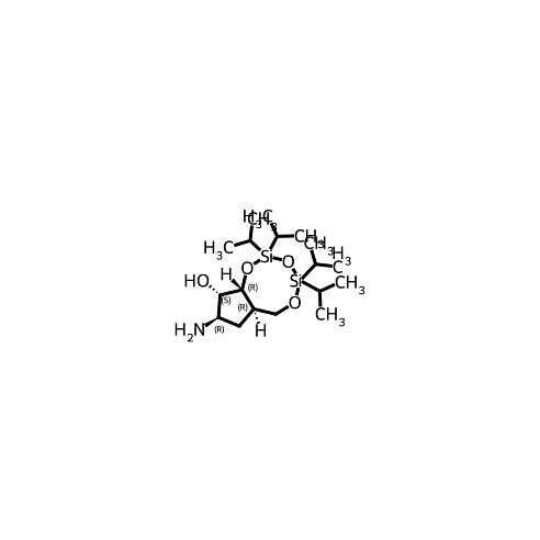 CC(C)[Si]1(C(C)C)OC[C@H]2C[C@@H](N)[C@H](O)[C@@H]2O[Si](C(C)C)(C(C)C)O1